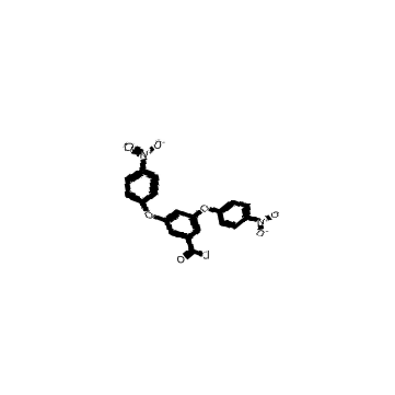 O=C(Cl)c1cc(Oc2ccc([N+](=O)[O-])cc2)cc(Oc2ccc([N+](=O)[O-])cc2)c1